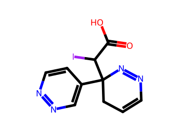 O=C(O)C(I)C1(c2ccnnc2)CC=CN=N1